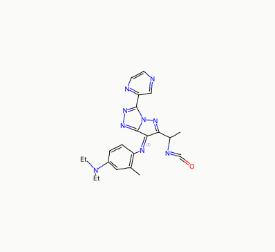 CCN(CC)c1ccc(/N=C2/C(C(C)N=C=O)=Nn3c2nnc3-c2cnccn2)c(C)c1